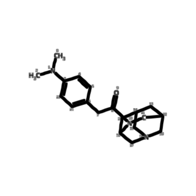 CN(C)c1ccc(CC(=O)N2CC3CC4CC2CN(C4)C3)cc1